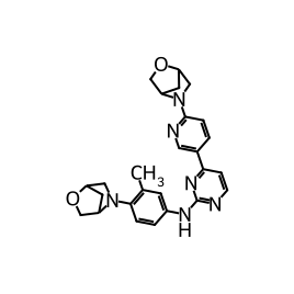 Cc1cc(Nc2nccc(-c3ccc(N4CC5CC4CO5)nc3)n2)ccc1N1CC2CC1CO2